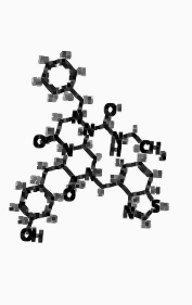 CCNC(=O)N1C2CN(CC3=CC=CC4SC=NC34)C(=O)C(Cc3ccc(O)cc3)N2C(=O)CN1Cc1ccccc1